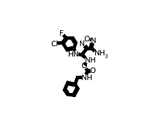 Nc1nonc1C(NOC(=O)NCc1ccccc1)Nc1ccc(F)c(Cl)c1